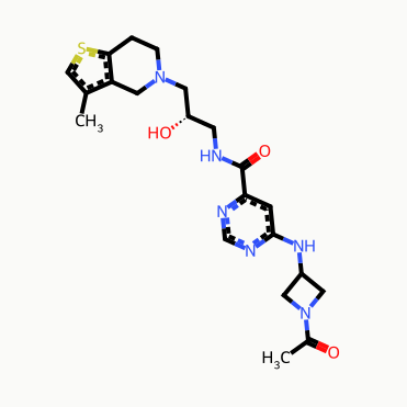 CC(=O)N1CC(Nc2cc(C(=O)NC[C@H](O)CN3CCc4scc(C)c4C3)ncn2)C1